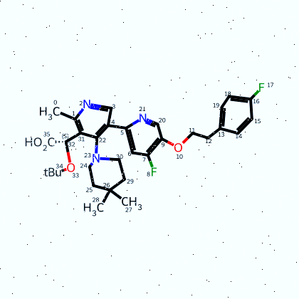 Cc1ncc(-c2cc(F)c(OCCc3ccc(F)cc3)cn2)c(N2CCC(C)(C)CC2)c1[C@H](OC(C)(C)C)C(=O)O